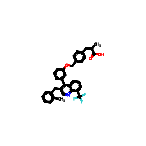 CC(=Cc1ccc(COc2cccc(-c3c(Cc4ccccc4C)cnc4c(C(F)(F)F)cccc34)c2)cc1)C(=O)O